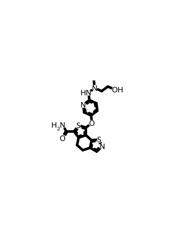 CN(CCO)Nc1ccc(Oc2sc(C(N)=O)c3c2-c2sncc2CC3)cn1